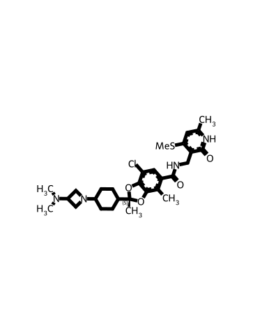 CSc1cc(C)[nH]c(=O)c1CNC(=O)c1cc(Cl)c2c(c1C)O[C@](C)(C1CCC(N3CC(N(C)C)C3)CC1)O2